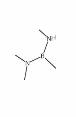 CNB(C)N(C)C